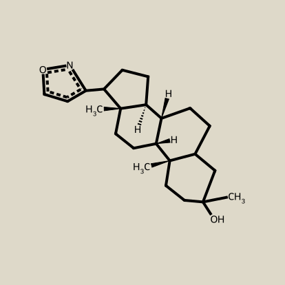 CC1(O)CC[C@@]2(C)C(CC[C@@H]3[C@H]2CC[C@]2(C)C(c4ccon4)CC[C@@H]32)C1